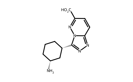 N[C@@H]1CCC[C@H](c2nnc3ccc(C(=O)O)nn23)C1